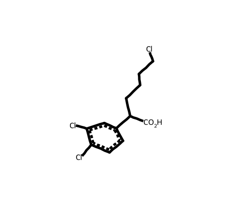 O=C(O)C(CCCCCl)c1ccc(Cl)c(Cl)c1